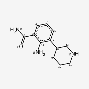 NC(=O)c1cccc(C2CCCNC2)c1N